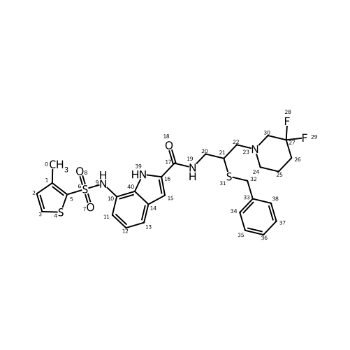 Cc1ccsc1S(=O)(=O)Nc1cccc2cc(C(=O)NCC(CN3CCCC(F)(F)C3)SCc3ccccc3)[nH]c12